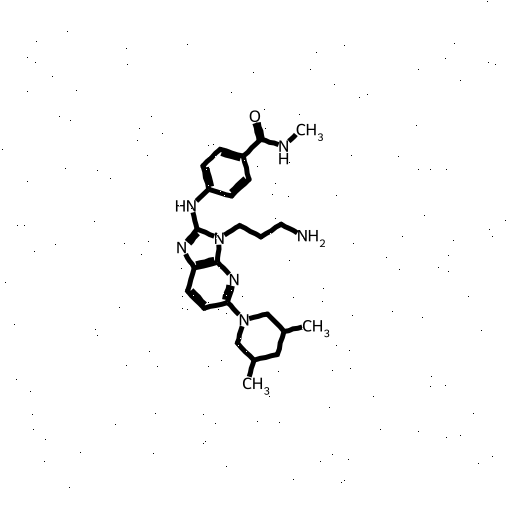 CNC(=O)c1ccc(Nc2nc3ccc(N4CC(C)CC(C)C4)nc3n2CCCN)cc1